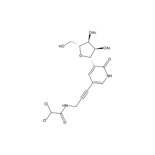 CC(=O)O[C@@H]1[C@H](OC(C)=O)[C@@H](CO)O[C@H]1c1cc(C#CCNC(=O)C(Cl)Cl)c[nH]c1=O